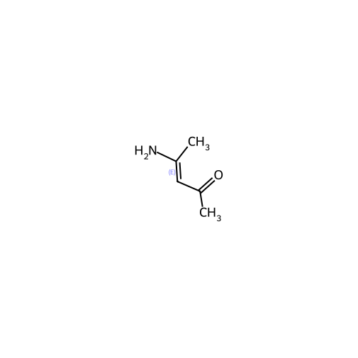 CC(=O)/C=C(\C)N